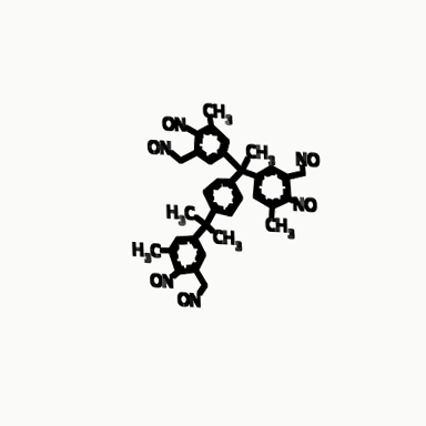 Cc1cc(C(C)(C)c2ccc(C(C)(c3cc(C)c(N=O)c(CN=O)c3)c3cc(C)c(N=O)c(CN=O)c3)cc2)cc(CN=O)c1N=O